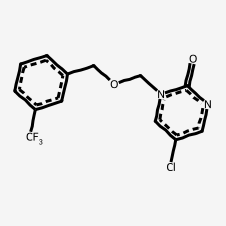 O=c1ncc(Cl)cn1COCc1cccc(C(F)(F)F)c1